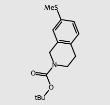 CSc1ccc2c(c1)CN(C(=O)OC(C)(C)C)CC2